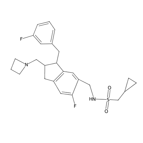 O=S(=O)(CC1CC1)NCc1cc2c(cc1F)CC(CN1CCC1)C2Cc1cccc(F)c1